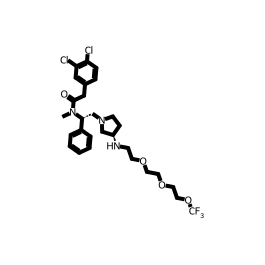 CN(C(=O)Cc1ccc(Cl)c(Cl)c1)[C@H](CN1CC[C@H](NCCOCCOCCOC(F)(F)F)C1)c1ccccc1